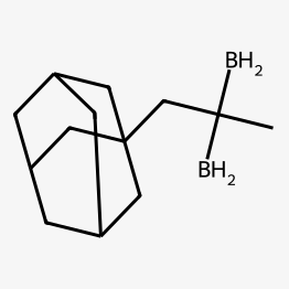 BC(B)(C)CC12CC3CC(CC(C3)C1)C2